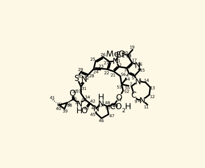 CCn1c(-c2cc(N3CCCN(C)CCC3)cnc2[C@H](C)OC)c2c3cc(ccc31)-c1csc(n1)C[C@H](NC(=O)[C@H]1C[C@@H]1C)C(=O)N1CCC[C@@](C(=O)O)(COCC(C)(C)C2)N1